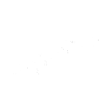 CC(=O)N[C@H](COCc1ccccc1)C(=O)Nc1ccc(NC(=O)/C(C#N)=C/c2ccc(O)cc2)cc1